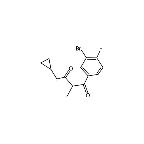 CC(C(=O)[CH]C1CC1)C(=O)c1ccc(F)c(Br)c1